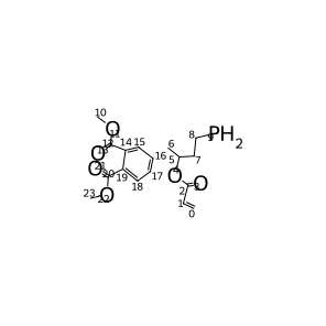 C=CC(=O)OC(C)CCP.COC(=O)c1ccccc1C(=O)OC